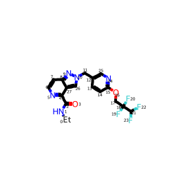 CCNC(=O)c1nccc2nn(Cc3ccc(OCC(F)(F)C(F)F)nc3)cc12